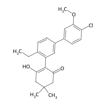 CCc1ccc(-c2ccc(Cl)c(OC)c2)cc1C1=C(O)CC(C)(C)CC1=O